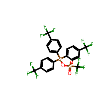 O=S(=O)(OS(c1ccc(C(F)(F)F)cc1)(c1ccc(C(F)(F)F)cc1)c1ccc(C(F)(F)F)cc1)C(F)(F)F